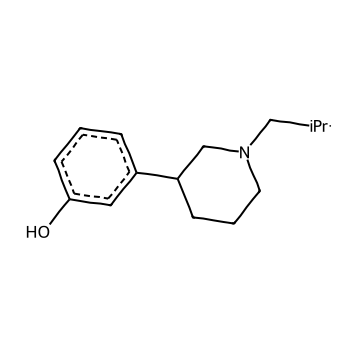 C[C](C)CN1CCCC(c2cccc(O)c2)C1